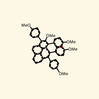 COc1ccc(-c2c(-c3ccc(OC)cc3)c3c(-c4ccc(OC)cc4)c(OC)c(-c4ccc(OC)cc4)c4ccc5cccc2c5c43)cc1